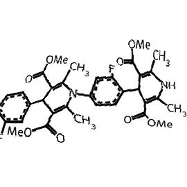 COC(=O)C1=C(C)N(c2ccc(C3C(C(=O)OC)=C(C)NC(C)=C3C(=O)OC)c(F)c2)C(C)=C(C(=O)OC)C1c1cccc(F)c1